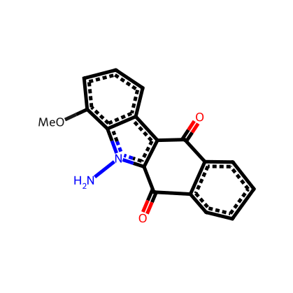 COc1cccc2c3c(n(N)c12)C(=O)c1ccccc1C3=O